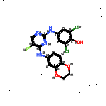 Oc1c(Cl)cc(Nc2ncc(F)c(Nc3ccc4c(c3)OCCO4)n2)cc1Cl